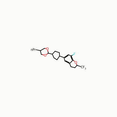 CCCC1COC(C2CCC(c3cc(F)c4c(c3)CCC(C(F)(F)F)O4)CC2)OC1